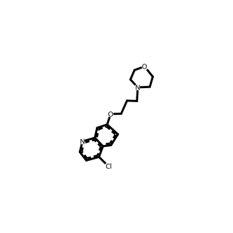 Clc1ccnc2cc(OCCCN3CCOCC3)ccc12